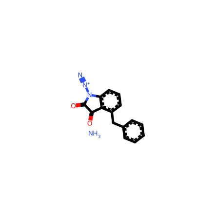 N.N#[N+]N1C(=O)C(=O)c2c(Cc3ccccc3)cccc21